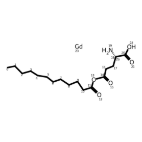 CCCCCCCCCCCC(=O)OC(=O)CC[C@H](N)C(=O)O.[Gd]